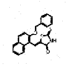 O=C1NC(=S)SC1=Cc1c(OCc2ccccc2)ccc2ccccc12